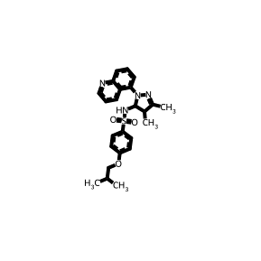 CC1=NN(c2cccc3ncccc23)C(NS(=O)(=O)c2ccc(OCC(C)C)cc2)C1C